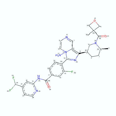 C[C@H]1CC[C@@H](C2=C3C=NC=C[N+]3(N)C(c3ccc(C(=O)Nc4cc(C(F)F)ccn4)cc3F)=N2)CN1C(=O)C1(C)COC1